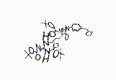 CN(C(=O)[C@H](CCCN/C(=N/C(=O)OC(C)(C)C)NC(=O)OC(C)(C)C)NC(=O)OC(C)(C)C)c1ccc(CCl)cc1